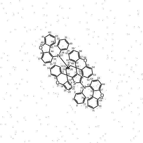 c1ccc(N(c2cc3c(s2)C2(c4ccccc4Oc4ccccc42)c2cc(N(c4ccccc4)c4cccc5oc6ccccc6c45)sc2C32c3ccccc3Oc3ccccc32)c2cccc3oc4ccccc4c23)cc1